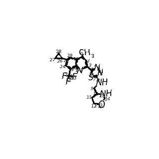 Cc1cc(-c2nnc(NCC3CCOCN3)s2)nc2c(C(F)(F)F)cc(C3CC3)cc12